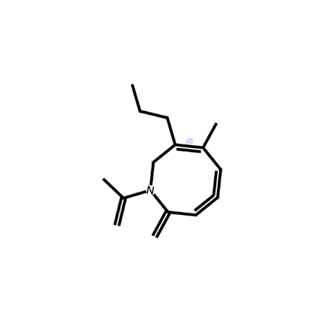 C=C(C)N1C/C(CCC)=C(/C)C=C=CC1=C